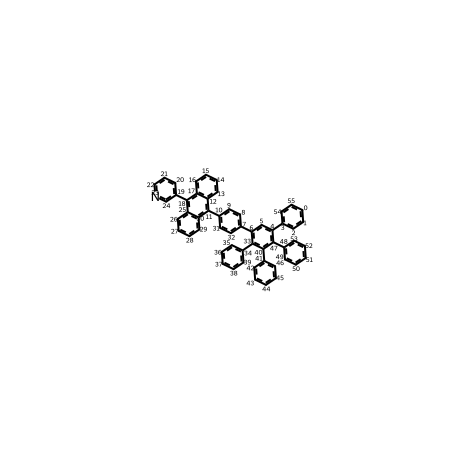 c1ccc(-c2cc(-c3ccc(-c4c5ccccc5c(-c5cccnc5)c5ccccc45)cc3)c(-c3ccccc3)c(-c3ccccc3)c2-c2ccccc2)cc1